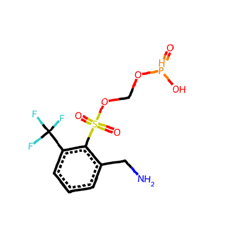 NCc1cccc(C(F)(F)F)c1S(=O)(=O)OCO[PH](=O)O